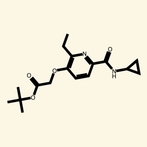 CCc1nc(C(=O)NC2CC2)ccc1OCC(=O)OC(C)(C)C